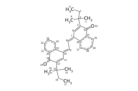 CCC(C)(C)C1=C/C(=C/C=C2/C=C(C(C)(C)CC)C(=O)c3ccccc32)c2ccccc2C1=O